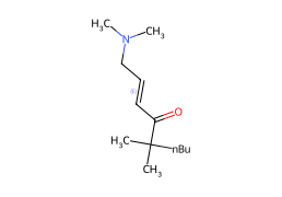 CCCCC(C)(C)C(=O)/C=C/CN(C)C